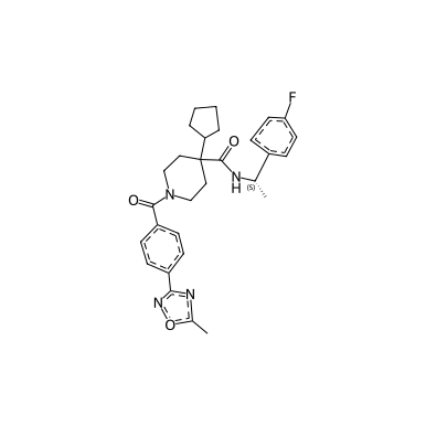 Cc1nc(-c2ccc(C(=O)N3CCC(C(=O)N[C@@H](C)c4ccc(F)cc4)(C4CCCC4)CC3)cc2)no1